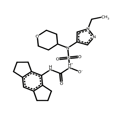 CCn1cc(N(C2CCOCC2)S(=O)(=O)[NH+]([O-])C(=O)Nc2c3c(cc4c2CCC4)CCC3)cn1